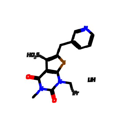 CC(C)Cn1c(=O)n(C)c(=O)c2c(S(=O)(=O)O)c(Cc3cccnc3)sc21.[LiH]